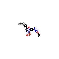 COc1ccc(-c2cc3cnc(S(C)(=O)=O)nc3n(-c3ccc(-c4ncn(COCC[Si](C)(C)C)n4)cc3)c2=O)cc1